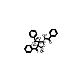 N#C[C@@H]1O[C@H](C(O)C(=O)c2ccccc2)[C@](O)(C(=O)c2ccccc2)[C@]1(O)C(=O)c1ccccc1